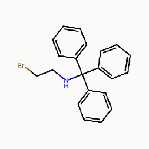 BrC[CH]NC(c1ccccc1)(c1ccccc1)c1ccccc1